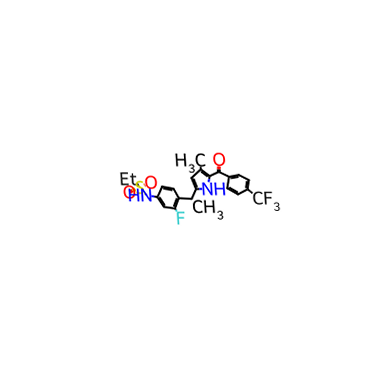 CCS(=O)(=O)Nc1ccc(C(C)c2cc(C)c(C(=O)c3ccc(C(F)(F)F)cc3)[nH]2)c(F)c1